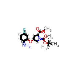 COC(=O)[C@@H]1C[C@H](Oc2cc(F)ccc2N)CN1C(=O)OC(C)(C)C